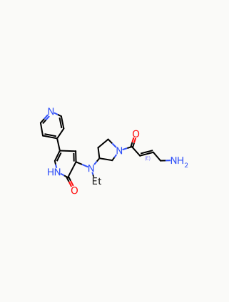 CCN(c1cc(-c2ccncc2)c[nH]c1=O)C1CCN(C(=O)/C=C/CN)C1